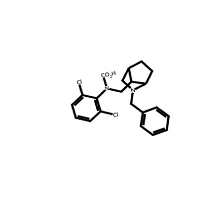 O=C(O)N(CC1C2CCC1N(Cc1ccccc1)C2)c1c(Cl)cccc1Cl